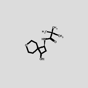 CC(C)(C)C(=O)N[C@H]1CC(O)C12CCOCC2